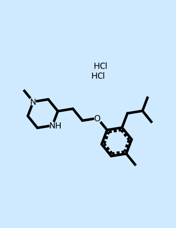 Cc1ccc(OCCC2CN(C)CCN2)c(CC(C)C)c1.Cl.Cl